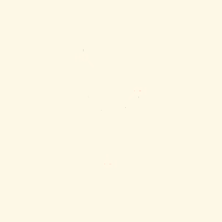 OCC=C(CO)CCO